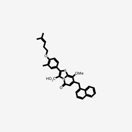 COc1c(Cc2cccc3ccccc23)cc(=O)n2c(C(=O)O)c(-c3ccc(OCCC=C(C)C)c(C)c3)sc12